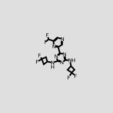 FC(I)c1cncc(-c2nc(NC3CC(F)(F)C3)nc(NC3CC(F)(F)C3)n2)n1